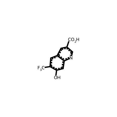 O=C(O)c1cnc2cc(O)c(C(F)(F)F)cc2c1